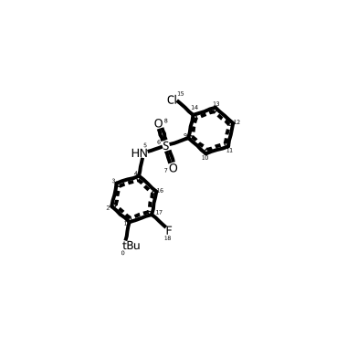 CC(C)(C)c1ccc(NS(=O)(=O)c2ccccc2Cl)cc1F